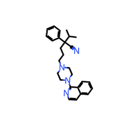 CC(C)C(C#N)(CCCN1CCN(c2nccc3ccccc23)CC1)c1ccccc1